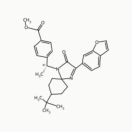 COC(=O)c1ccc([C@@H](C)N2C(=O)C(c3ccc4ccoc4c3)=NC23CCC(C(C)(C)C)CC3)cc1